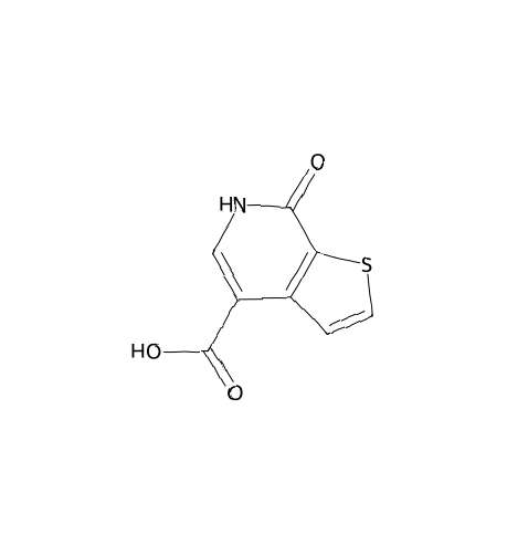 O=C(O)c1c[nH]c(=O)c2sccc12